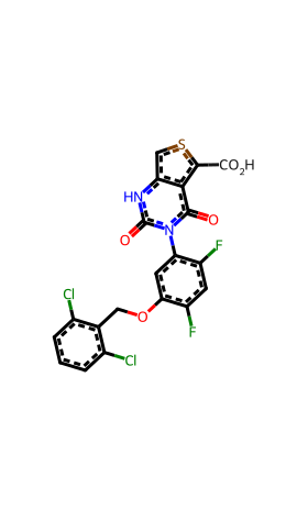 O=C(O)c1scc2[nH]c(=O)n(-c3cc(OCc4c(Cl)cccc4Cl)c(F)cc3F)c(=O)c12